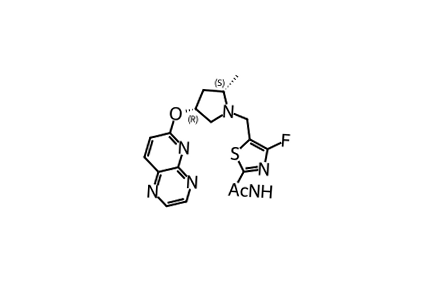 CC(=O)Nc1nc(F)c(CN2C[C@H](Oc3ccc4nccnc4n3)C[C@@H]2C)s1